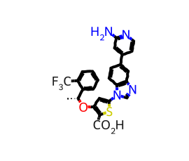 C[C@@H](Oc1cc(-n2cnc3cc(-c4ccnc(N)c4)ccc32)sc1C(=O)O)c1ccccc1C(F)(F)F